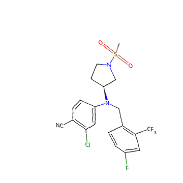 CS(=O)(=O)N1CC[C@H](N(Cc2ccc(F)cc2C(F)(F)F)c2ccc(C#N)c(Cl)c2)C1